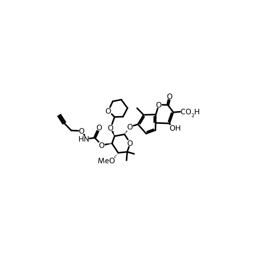 C#CCONC(=O)O[C@H]1[C@@H](OC2CCCCO2)[C@H](Oc2ccc3c(O)c(C(=O)O)c(=O)oc3c2C)OC(C)(C)[C@@H]1OC